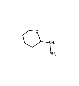 N[SiH2]C1CCCCO1